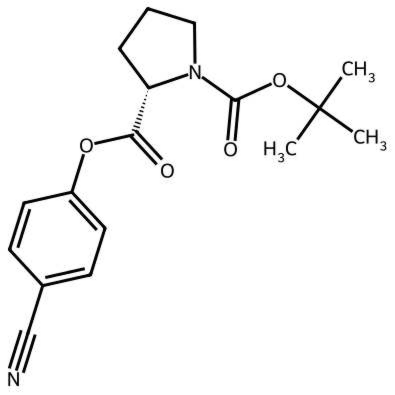 CC(C)(C)OC(=O)N1CCC[C@H]1C(=O)Oc1ccc(C#N)cc1